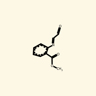 COC(=O)c1ccccc1N=CC=O